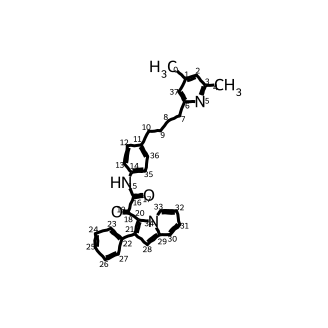 Cc1cc(C)nc(CCCCc2ccc(NC(=O)C(=O)c3c(-c4ccccc4)cc4ccccn34)cc2)c1